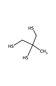 CC(S)(CS)CS